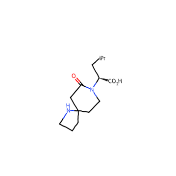 CC(C)C[C@@H](C(=O)O)N1CCC2(CCCN2)CC1=O